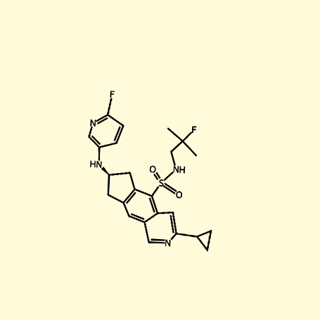 CC(C)(F)CNS(=O)(=O)c1c2c(cc3cnc(C4CC4)cc13)C[C@@H](Nc1ccc(F)nc1)C2